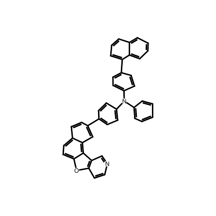 c1ccc(N(c2ccc(-c3ccc4ccc5oc6ccncc6c5c4c3)cc2)c2ccc(-c3cccc4ccccc34)cc2)cc1